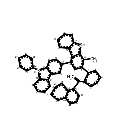 C=C(c1ccccc1-c1cc(-c2ccc3c(c2)c2ccccc2n3-c2ccccc2)c2c(sc3ccccc32)c1C)c1cccc2ccccc12